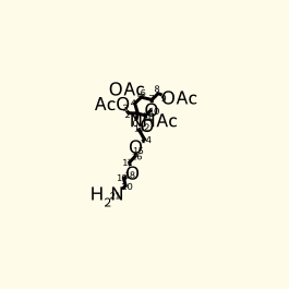 CC(=O)NC1(COC(C)=O)CC(OC(C)=O)C(COC(C)=O)OC1OCCOCCOCCN